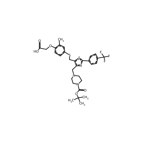 Cc1cc(SCc2sc(-c3ccc(C(F)(F)F)cc3)nc2CN2CCN(C(=O)OC(C)(C)C)CC2)ccc1OCC(=O)O